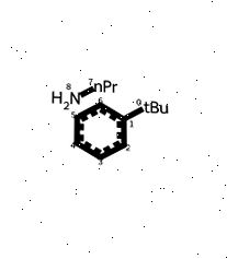 CC(C)(C)c1ccccc1.CCCN